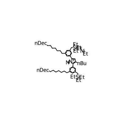 CCCCCCCCCCCCCCCCCc1cc(C[Si](CC)(CC)CC)cc(C2=CC(CCCC)=C(c3cc(CCCCCCCCCCCCCCCCC)cc(C[Si](CC)(CC)CC)c3)[N+]2=[N-])c1.C[CH2][Ni][CH2]C